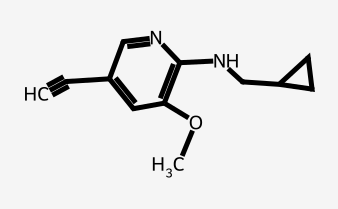 C#Cc1cnc(NCC2CC2)c(OC)c1